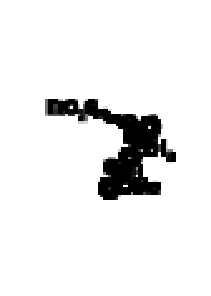 CCOC(=O)CCCCCOCc1ccccc1N(C)C(=O)c1ccc(NC(=O)c2ccccc2OC)cc1